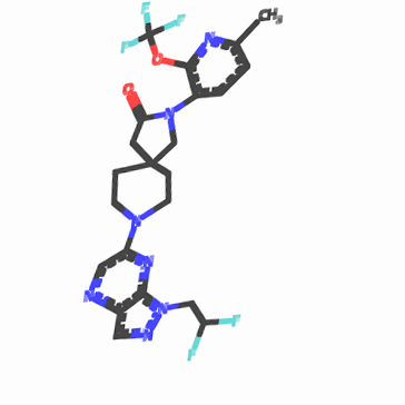 Cc1ccc(N2CC3(CCN(c4cnc5cnn(CC(F)F)c5n4)CC3)CC2=O)c(OC(F)(F)F)n1